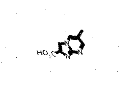 Cc1cnc2nc(C(=O)O)cn2c1